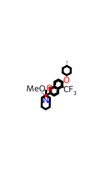 COC(=O)C1CC2CCCC(C1)N2[C@H](C)c1ccc2c(C(F)(F)F)c(O[C@H]3CC[C@@H](C)CC3)ccc2c1